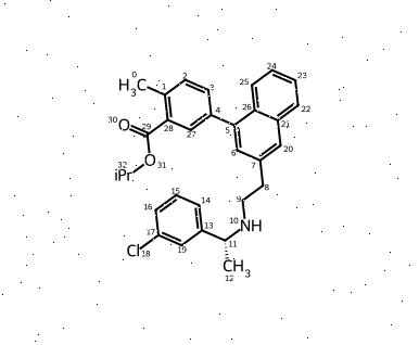 Cc1ccc(-c2cc(CCN[C@H](C)c3cccc(Cl)c3)cc3ccccc23)cc1C(=O)OC(C)C